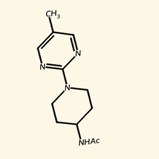 CC(=O)NC1CCN(c2ncc(C)cn2)CC1